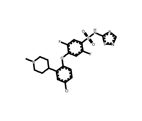 CN1CCC(c2cc(Cl)ccc2Oc2cc(F)c(S(=O)(=O)Nc3ncns3)cc2F)CC1